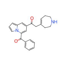 O=C(CC1=CCCNCC1)c1cc(C(=O)c2ccccc2)n2cccc2c1